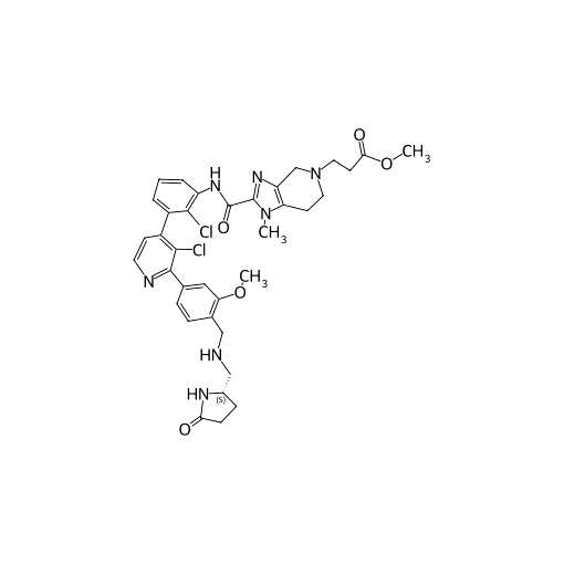 COC(=O)CCN1CCc2c(nc(C(=O)Nc3cccc(-c4ccnc(-c5ccc(CNC[C@@H]6CCC(=O)N6)c(OC)c5)c4Cl)c3Cl)n2C)C1